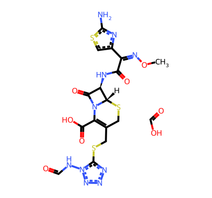 CO/N=C(\C(=O)N[C@@H]1C(=O)N2C(C(=O)O)=C(CSc3nnnn3NC=O)CS[C@@H]12)c1csc(N)n1.O=CO